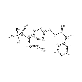 CN(C(=O)CCc1ccc(NC(=O)C(F)(F)F)c([N+](=O)[O-])c1)c1ccccc1